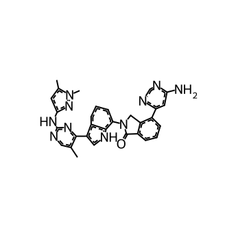 Cc1cnc(Nc2cc(C)n(C)n2)nc1-c1c[nH]c2c(N3Cc4c(cccc4-c4cc(N)ncn4)C3=O)cccc12